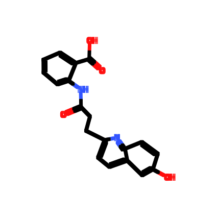 O=C(CCc1ccc2cc(O)ccc2n1)Nc1ccccc1C(=O)O